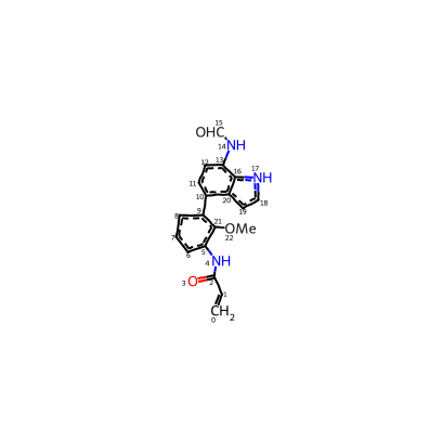 C=CC(=O)Nc1cccc(-c2ccc(NC=O)c3[nH]ccc23)c1OC